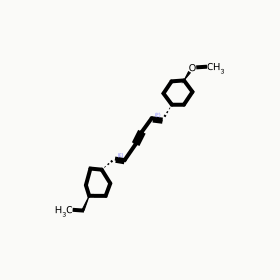 CC[C@H]1CC[C@H](/C=C/C#C/C=C/[C@H]2CC[C@H](OC)CC2)CC1